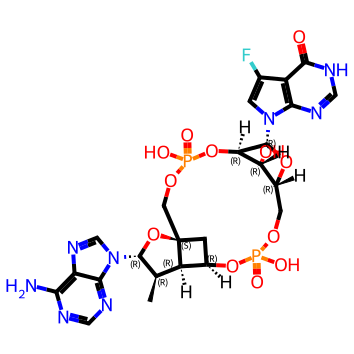 C[C@@H]1[C@@H]2[C@H]3C[C@]2(COP(=O)(O)O[C@@H]2[C@H](O)[C@@H](COP(=O)(O)O3)O[C@H]2n2cc(F)c3c(=O)[nH]cnc32)O[C@H]1n1cnc2c(N)ncnc21